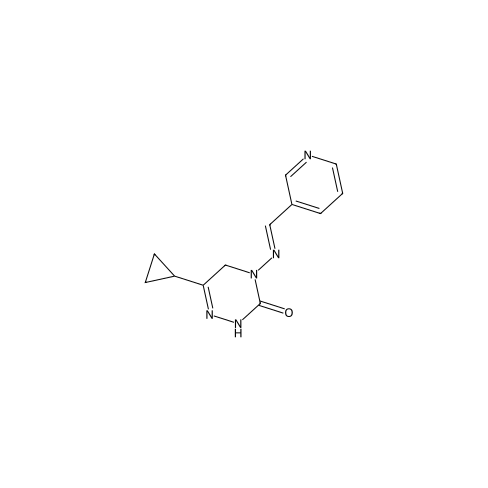 O=C1NN=C(C2CC2)CN1N=Cc1cccnc1